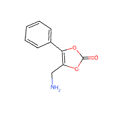 NCc1oc(=O)oc1-c1ccccc1